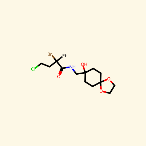 CCC(Br)(CCCl)C(=O)NCC1(O)CCC2(CC1)OCCO2